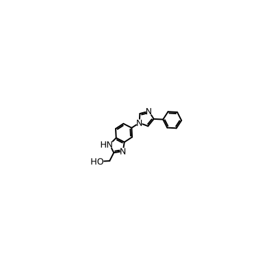 OCc1nc2cc(-n3cnc(-c4ccccc4)c3)ccc2[nH]1